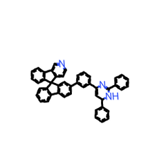 C1=C(c2cccc(-c3ccc4c(c3)C3(c5ccccc5-c5cnccc53)c3ccccc3-4)c2)N=C(c2ccccc2)NC1c1ccccc1